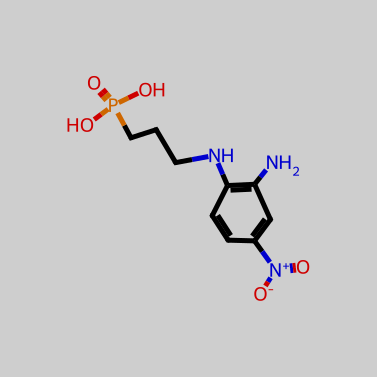 Nc1cc([N+](=O)[O-])ccc1NCCCP(=O)(O)O